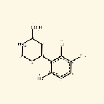 O=C(O)C1CC(c2c(O)ccc(Cl)c2Cl)CCN1